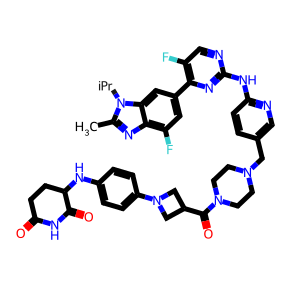 Cc1nc2c(F)cc(-c3nc(Nc4ccc(CN5CCN(C(=O)C6CN(c7ccc(NC8CCC(=O)NC8=O)cc7)C6)CC5)cn4)ncc3F)cc2n1C(C)C